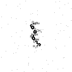 Cc1cc(Nc2ncnc3ccc(NC(=O)C=CC4CCCN4C)cc23)ccc1Oc1ccc2ccn(C(=O)OC(C)(C)C)c2c1